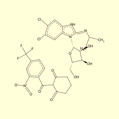 CC(C)N=c1[nH]c2cc(Cl)c(Cl)cc2n1[C@H]1O[C@@H](CO)[C@H](O)[C@@H]1O.O=C1CCCC(=O)C1C(=O)c1ccc(C(F)(F)F)cc1[N+](=O)[O-]